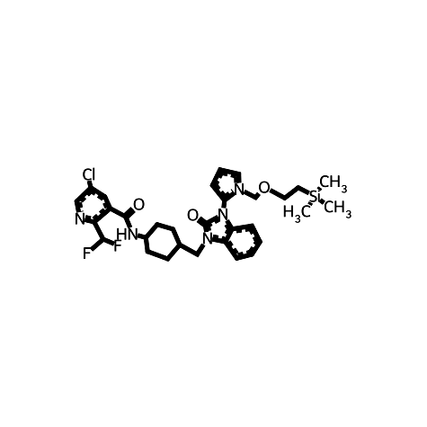 C[Si](C)(C)CCOCn1cccc1-n1c(=O)n(CC2CCC(NC(=O)c3cc(Cl)cnc3C(F)F)CC2)c2ccccc21